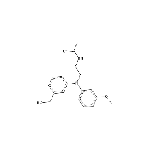 COc1cccc(N(CCNC(C)=O)c2cccc(CO)c2)c1